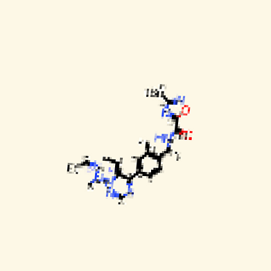 C/C=C1/C(c2ccc([C@@H](C)NC(=O)c3nc(C(C)(C)C)no3)c(C)c2)=NC=NN1N(C)/N=C\CC